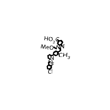 COCCn1c(Cc2ccc(-c3cccc(OCc4ccc(Cl)cc4F)n3)cc2C)nc2ccc(C(=O)O)cc21